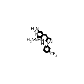 NNc1nc(N)cc(Cc2cnn(-c3cccc(C(F)(F)F)c3)c2)c1N